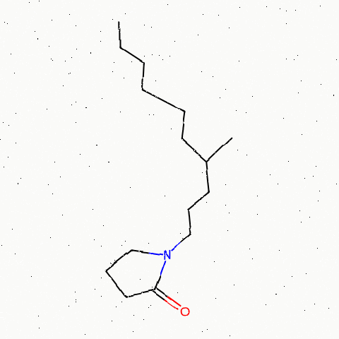 CCCCCCC(C)CCCN1CCCC1=O